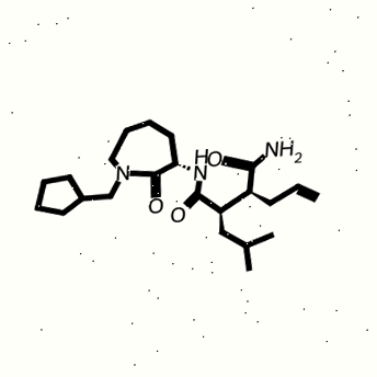 C=CC[C@H](C(N)=O)[C@@H](CC(C)C)C(=O)N[C@H]1CCCCN(CC2CCCC2)C1=O